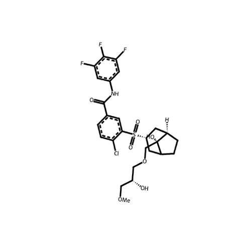 COC[C@@H](O)COC[C@]1(O)C2CC[C@@H]1C[C@@H](S(=O)(=O)c1cc(C(=O)Nc3cc(F)c(F)c(F)c3)ccc1Cl)C2